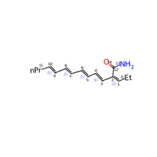 CC/C=C(/C=C/C=C/C=C/C=C/CCC)C(N)=O